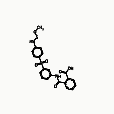 COSNc1ccc(S(=O)(=O)c2cccc(NC(=O)c3ccccc3C(=O)O)c2)cc1